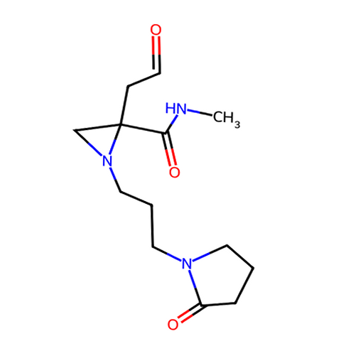 CNC(=O)C1(CC=O)CN1CCCN1CCCC1=O